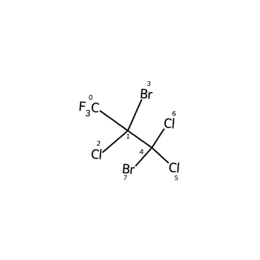 FC(F)(F)C(Cl)(Br)C(Cl)(Cl)Br